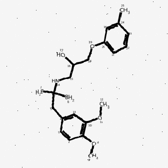 BC(B)(Cc1ccc(OC)c(OC)c1)NCC(O)COc1cccc(C)c1